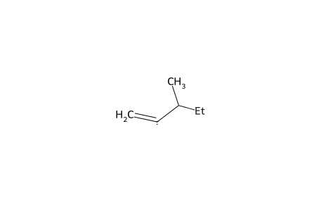 C=[C]C(C)CC